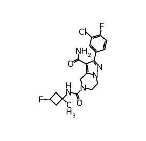 C[C@]1(NC(=O)N2CCn3nc(-c4ccc(F)c(Cl)c4)c(C(N)=O)c3C2)C[C@H](F)C1